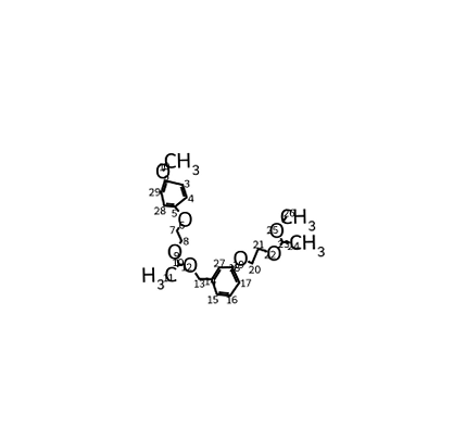 COc1ccc(OCCOC(C)OCc2cccc(OCCOC(C)OC)c2)cc1